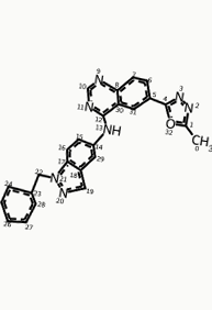 Cc1nnc(-c2ccc3ncnc(Nc4ccc5c(cnn5Cc5ccccc5)c4)c3c2)o1